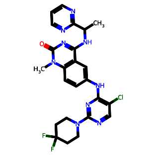 CC(Nc1nc(=O)n(C)c2ccc(Nc3nc(N4CCC(F)(F)CC4)ncc3Cl)cc12)c1ncccn1